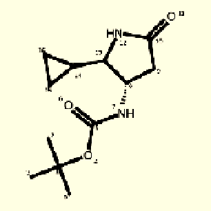 CC(C)(C)OC(=O)N[C@H]1CC(=O)N[C@@H]1C1CC1